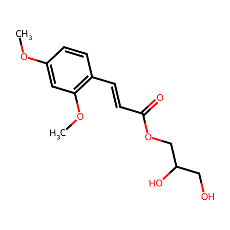 COc1ccc(C=CC(=O)OCC(O)CO)c(OC)c1